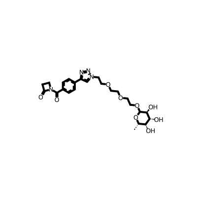 C[C@@H]1OC(OCCOCCOCCn2cc(-c3ccc(C(=O)N4CCC4=O)cc3)nn2)[C@@H](O)[C@H](O)[C@@H]1O